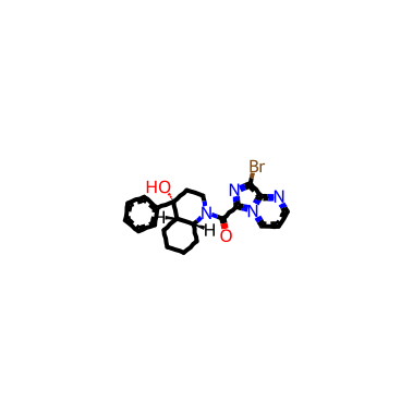 O=C(c1nc(Br)c2ncccn12)N1CC[C@](O)(c2ccccc2)[C@H]2CCCC[C@H]21